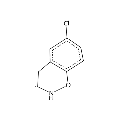 Clc1ccc2c(c1)C[CH]NO2